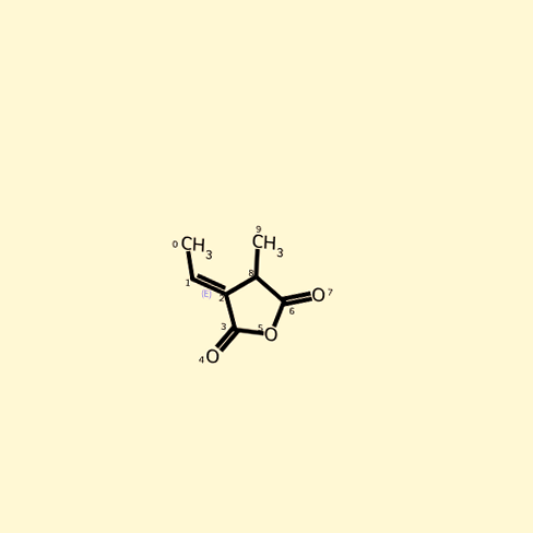 C/C=C1/C(=O)OC(=O)C1C